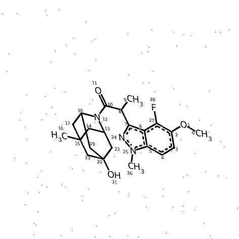 COc1ccc2c(c(C(C)C(=O)N3C4CC5(C)CC3CC(O)(C4)C5)nn2C)c1F